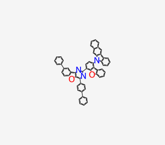 c1ccc(-c2ccc(-c3nc(-c4ccc(-n5c6ccccc6c6cc7ccccc7cc65)c5c4oc4ccccc45)nc4c3oc3ccc(-c5ccccc5)cc34)cc2)cc1